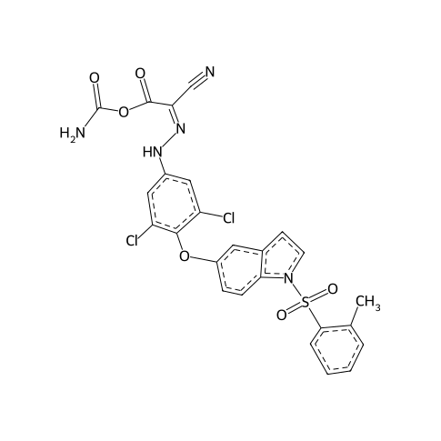 Cc1ccccc1S(=O)(=O)n1ccc2cc(Oc3c(Cl)cc(NN=C(C#N)C(=O)OC(N)=O)cc3Cl)ccc21